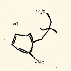 COc1ccccc1CC(C)(C)CN.Cl